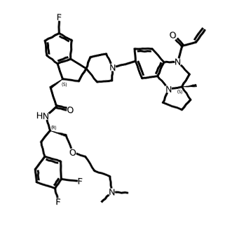 C=CC(=O)N1C[C@]2(C)CCCN2c2cc(N3CCC4(CC3)C[C@@H](CC(=O)N[C@@H](COCCCN(C)C)Cc3ccc(F)c(F)c3)c3ccc(F)cc34)ccc21